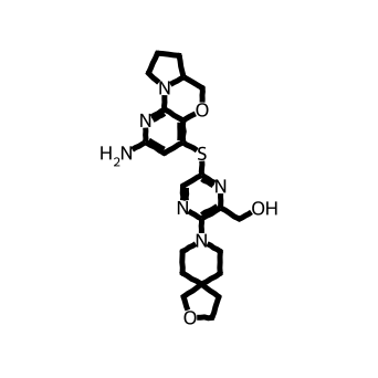 Nc1cc(Sc2cnc(N3CCC4(CCOC4)CC3)c(CO)n2)c2c(n1)N1CCCC1CO2